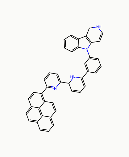 C1=CC(c2cccc(-c3ccc4ccc5cccc6ccc3c4c56)n2)NC(c2cccc(-n3c4c(c5ccccc53)CNC=C4)c2)=C1